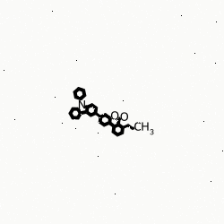 CCCc1cccc2c1c(=O)oc1cc(-c3ccc4c(c3)c3ccccc3n4-c3ccccc3)ccc12